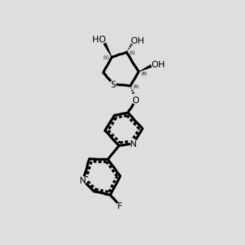 O[C@@H]1[C@@H](O)[C@H](Oc2ccc(-c3cncc(F)c3)nc2)SC[C@H]1O